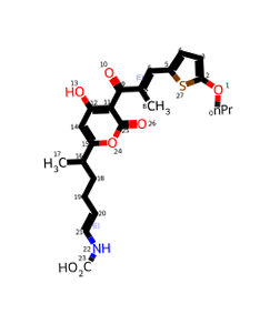 CCCOc1ccc(/C=C(\C)C(=O)c2c(O)cc(C(C)CC/C=C/NC(=O)O)oc2=O)s1